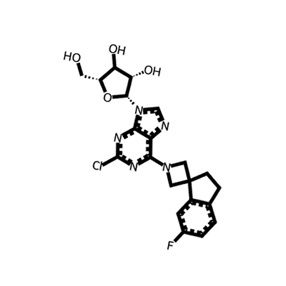 OC[C@H]1O[C@@H](n2cnc3c(N4CC5(CCc6ccc(F)cc65)C4)nc(Cl)nc32)[C@@H](O)C1O